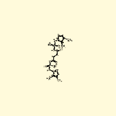 Cc1cnn(OP(=O)(O)OC(=O)CCC(=O)OP(=O)(O)On2ncc(C)c2C)c1C